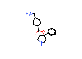 NCC1CCC(C(=O)OC2(c3ccccc3)CCNCC2)CC1